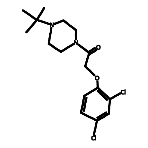 CC(C)(C)N1CCN(C(=O)COc2ccc(Cl)cc2Cl)CC1